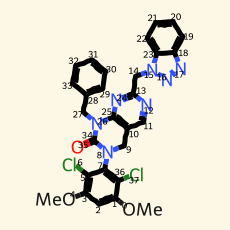 COc1cc(OC)c(Cl)c(N2Cc3cnc(Cn4nnc5ccccc54)nc3N(Cc3ccccc3)C2=O)c1Cl